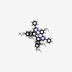 Cc1ccc(-c2ccc3c(c2)c2cc(-c4ccc(C)cc4C)ccc2n3-c2c(-c3nc(-c4ccccc4)cc(-c4ccccc4)n3)cc(C(F)(F)F)cc2-c2nc(-c3ccccc3)cc(-c3ccccc3)n2)c(C)c1